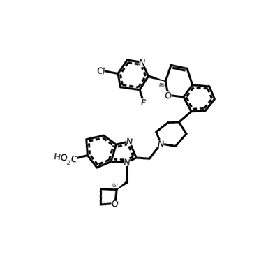 O=C(O)c1ccc2nc(CN3CCC(c4cccc5c4O[C@@H](c4ncc(Cl)cc4F)C=C5)CC3)n(C[C@@H]3CCO3)c2c1